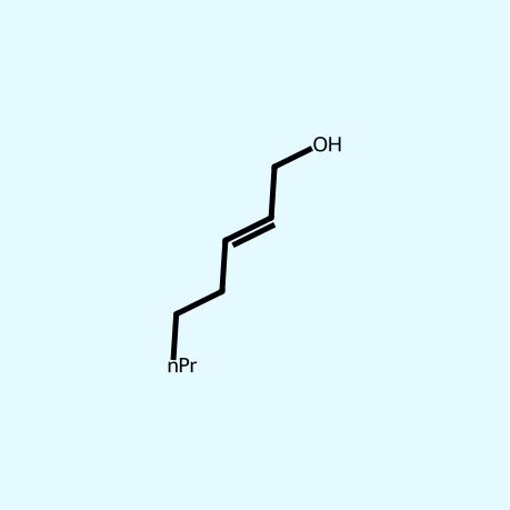 CCCCC/C=C/CO